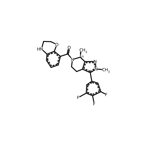 C[C@H]1c2nn(C)c(-c3cc(F)c(F)c(F)c3)c2CCN1C(=O)c1cccc2c1OCCN2